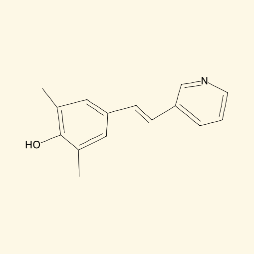 Cc1cc(C=Cc2cccnc2)cc(C)c1O